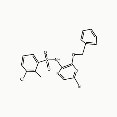 Cc1c(Cl)cccc1S(=O)(=O)Nc1ncc(Br)nc1OCc1ccccc1